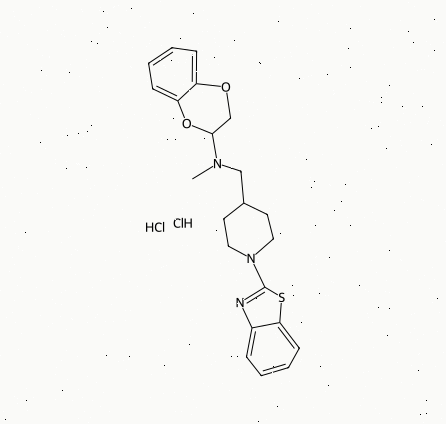 CN(CC1CCN(c2nc3ccccc3s2)CC1)C1COc2ccccc2O1.Cl.Cl